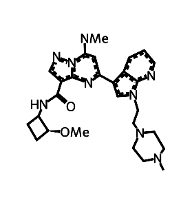 CNc1cc(-c2cn(CCN3CCN(C)CC3)c3ncccc23)nc2c(C(=O)NC3CC[C@@H]3OC)cnn12